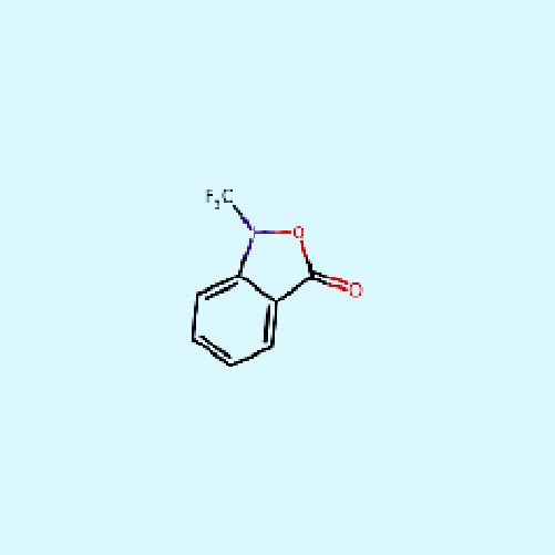 O=C1OI(C(F)(F)F)c2ccccc21